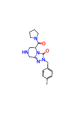 Cc1ccc(Cn2nc3n(c2=O)C(C(=O)N2CCCC2)CNC3)cc1